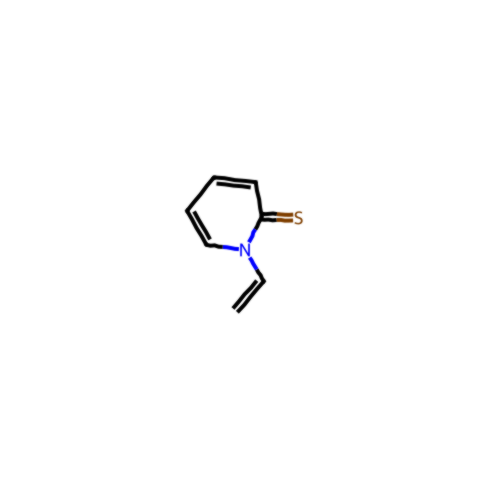 C=Cn1ccccc1=S